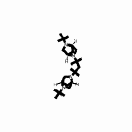 CC(C)(C)N1C[C@H]2C[C@@H]1CN2C(C)(C)CC(C)(C)N1C[C@@H]2C[C@H]1CN2C(C)(C)C